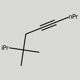 [CH2]C(C)C(C)(C)CC#CCCC